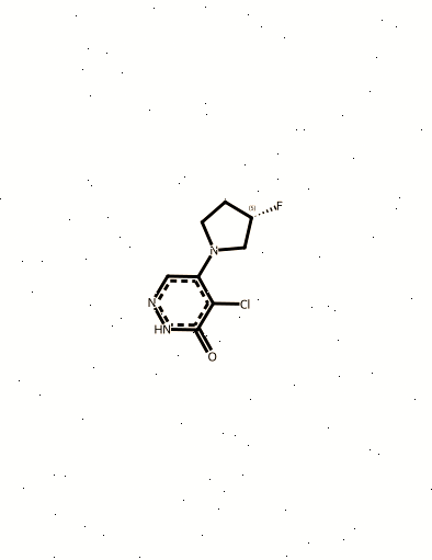 O=c1[nH]ncc(N2C[CH][C@H](F)C2)c1Cl